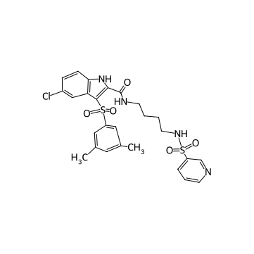 Cc1cc(C)cc(S(=O)(=O)c2c(C(=O)NCCCCNS(=O)(=O)c3cccnc3)[nH]c3ccc(Cl)cc23)c1